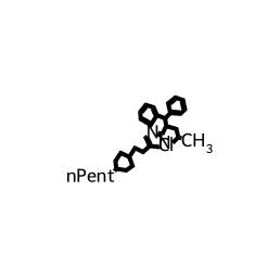 CCCCCC1CCC(CCc2cnc(C(CC(C)Cl)C(c3ccccc3)c3ccccc3)nc2)CC1